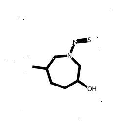 CC1CCC(O)CN(N=S)C1